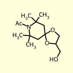 CC(=O)N1C(C)(C)CC2(CC1(C)C)OCC(CO)O2